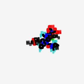 CC(C)(CCc1ccc(-c2ccc(Cl)c3c(N(C(=O)N(CC(=O)O)CC(=O)O)S(C)(=O)=O)nn(CC(F)(F)F)c23)c([C@H](Cc2cc(F)cc(F)c2)NC(=O)Cn2nc(C(F)(F)F)c3c2C(F)(F)C2C[C@H]32)n1)S(C)(=O)=O